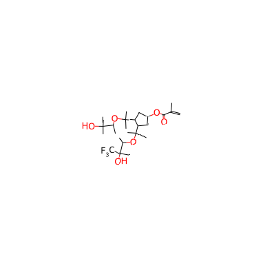 C=C(C)C(=O)OC1CC(C(C)(C)OC(C)C(C)(C)O)C(C(C)(C)OC(C)C(C)(O)C(F)(F)F)C1